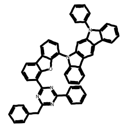 c1ccc(Cc2nc(-c3ccccc3)nc(-c3cccc4c3oc3c(-n5c6ccccc6c6cc7c8ccccc8n(-c8ccccc8)c7cc65)cccc34)n2)cc1